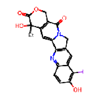 CCC1(O)C(=O)OCc2c1cc1n(c2=O)Cc2cc3c(I)c(O)ccc3nc2-1